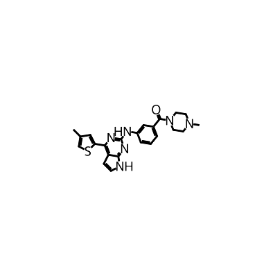 Cc1csc(-c2nc(Nc3cccc(C(=O)N4CCN(C)CC4)c3)nc3[nH]ccc23)c1